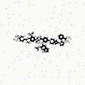 CC(C)c1ccccc1[C@@H]1CCCN1C1CC2(CCN(c3ccc(C(=O)NS(=O)(=O)c4cc5c(c([N+](=O)[O-])c4)S[C@@H]([C@H]4CC[C@](C)(O)CC4)CO5)c(Oc4cc5cc[nH]c5nc4OC(F)F)c3)CC2)C1